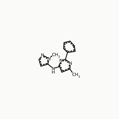 Cc1cc(Nc2ccnn2C)nc(-c2ccccc2)n1